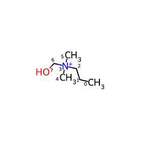 CCC[N+](C)(C)CO